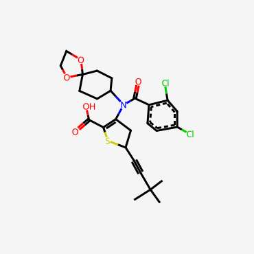 CC(C)(C)C#CC1CC(N(C(=O)c2ccc(Cl)cc2Cl)C2CCC3(CC2)OCCO3)=C(C(=O)O)S1